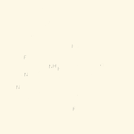 COc1cc(F)c(Cc2c(C)nn(C)c2Nc2c(F)cc(F)cc2F)c(F)c1